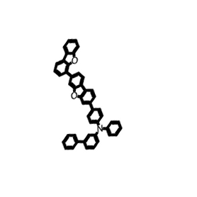 c1ccc(-c2cccc(N(c3ccccc3)c3ccc(-c4ccc5c(c4)oc4cc(-c6cccc7c6oc6ccccc67)ccc45)cc3)c2)cc1